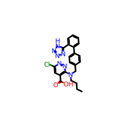 CCCCN(Cc1ccc(-c2ccccc2-c2nnn[nH]2)cc1)c1nnc(Cl)cc1C(=O)O